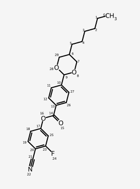 CCCCCCC1COC(c2ccc(C(=O)Oc3ccc(C#N)c(F)c3)cc2)OC1